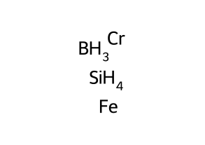 B.[Cr].[Fe].[SiH4]